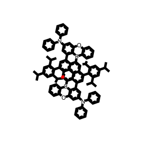 CC(C)c1cc(C(C)C)c(-c2cc3c4c(cc5c(-c6c(C(C)C)cc(C(C)C)cc6C(C)C)cc6c7c(cc2c4c57)B2c4ccccc4Oc4cc(N(c5ccccc5)c5ccccc5)cc-6c42)B2c4ccccc4Oc4cc(N(c5ccccc5)c5ccccc5)cc-3c42)c(C(C)C)c1